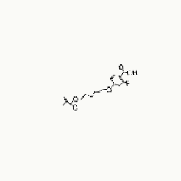 C=C(C)C(=O)OCCCCCCOc1ccc(C(=O)O)c(F)c1